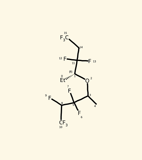 CC[C@@H](OC(C)C(F)(F)C(F)C(F)(F)F)C(F)(F)CC(F)(F)F